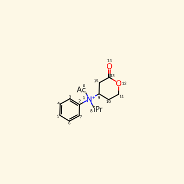 CC(=O)[N+](c1ccccc1)(C(C)C)C1CCOC(=O)C1